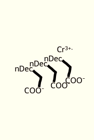 CCCCCCCCCCCC(=O)[O-].CCCCCCCCCCCC(=O)[O-].CCCCCCCCCCCC(=O)[O-].[Cr+3]